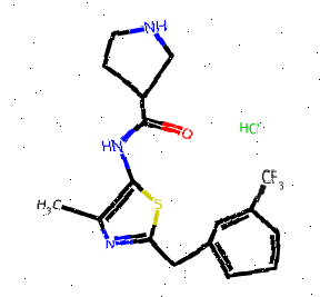 Cc1nc(Cc2cccc(C(F)(F)F)c2)sc1NC(=O)C1CCNC1.Cl